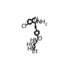 CCNCC(O)CNC(=O)c1ccc(C#Cc2c(N)ncc3ccc(Cl)cc23)cc1